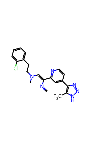 C=N/C(=C\N(C)CCc1ccccc1Cl)c1cc(-c2nn[nH]c2C(F)(F)F)ccn1